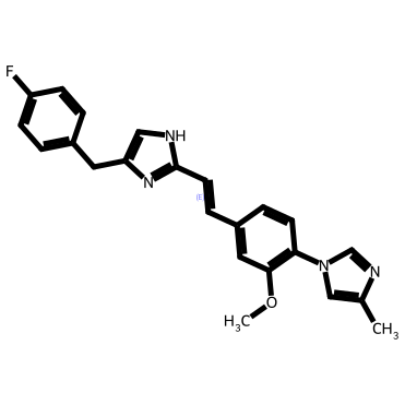 COc1cc(/C=C/c2nc(Cc3ccc(F)cc3)c[nH]2)ccc1-n1cnc(C)c1